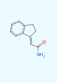 NC(=O)C=C1CCc2ccccc21